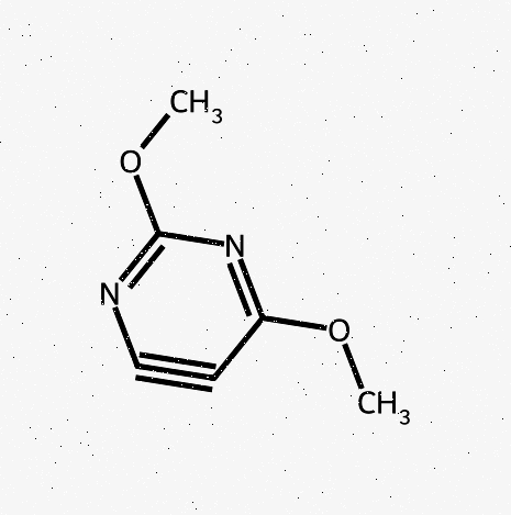 COc1c#cnc(OC)n1